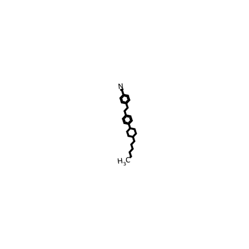 CCCCCCC1CCC(c2ccc(CCc3ccc(C#N)cc3)cc2)CC1